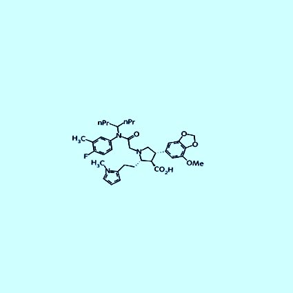 CCCC(CCC)N(C(=O)CN1C[C@H](c2cc(OC)c3c(c2)OCO3)[C@@H](C(=O)O)[C@@H]1CCc1cccn1C)c1ccc(F)c(C)c1